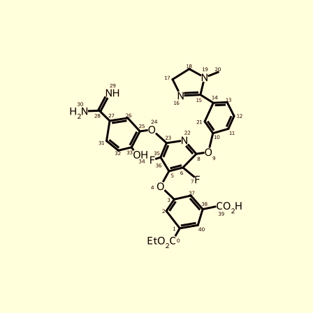 CCOC(=O)c1cc(Oc2c(F)c(Oc3cccc(C4=NCCN4C)c3)nc(Oc3cc(C(=N)N)ccc3O)c2F)cc(C(=O)O)c1